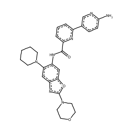 Nc1ccc(-c2cccc(C(=O)Nc3cc4oc(N5CCOCC5)nc4cc3N3CCCCC3)n2)cn1